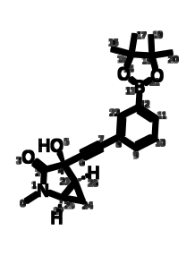 CN1C(=O)[C@](O)(C#Cc2cccc(B3OC(C)(C)C(C)(C)O3)c2)[C@H]2C[C@H]21